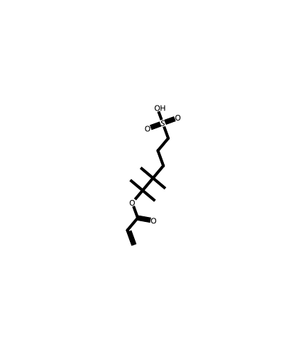 C=CC(=O)OC(C)(C)C(C)(C)CCCS(=O)(=O)O